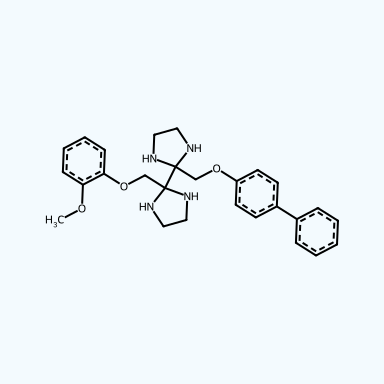 COc1ccccc1OCC1(C2(COc3ccc(-c4ccccc4)cc3)NCCN2)NCCN1